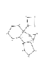 C1CCC(C2CCC2)(C2CC2)[C](C2CCCC2)C1